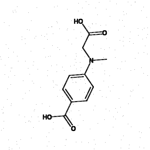 CN(CC(=O)O)c1ccc(C(=O)O)cc1